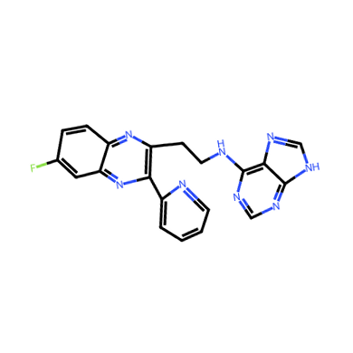 Fc1ccc2nc(CCNc3ncnc4[nH]cnc34)c(-c3ccccn3)nc2c1